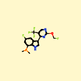 CP(C)c1cc(F)cc2c(-c3nc(OCF)ncc3C(F)(F)F)c[nH]c12